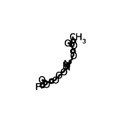 Cc1ccc2oc(-c3ccc(OCCCCc4cn(CCOCCOCCOc5ccc(-c6cc(=O)c7cc(F)ccc7o6)cc5)nn4)cc3)cc(=O)c2c1